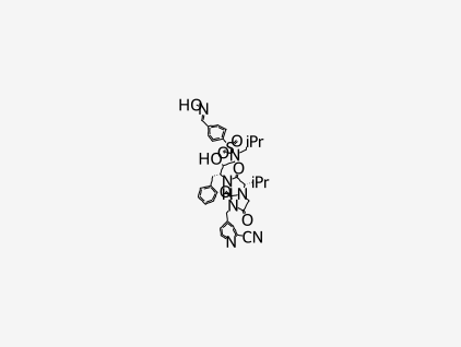 CC(C)CN(CC(O)[C@@H](Cc1ccccc1)NC(=O)[C@H](C(C)C)N1CC(=O)N(Cc2ccnc(C#N)c2)C1=O)S(=O)(=O)c1ccc(/C=N/O)cc1